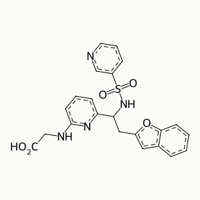 O=C(O)CNc1cccc(C(Cc2cc3ccccc3o2)NS(=O)(=O)c2cccnc2)n1